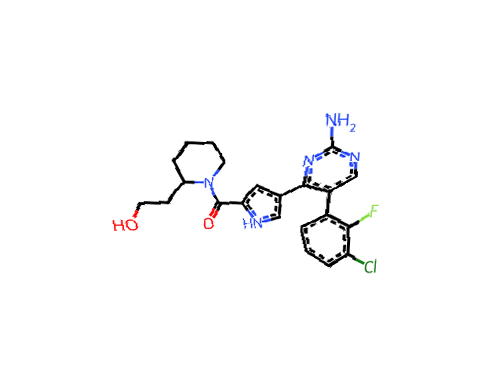 Nc1ncc(-c2cccc(Cl)c2F)c(-c2c[nH]c(C(=O)N3CCCCC3CCO)c2)n1